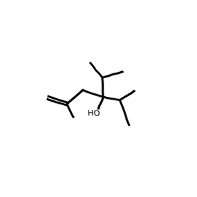 C=C(C)CC(O)(C(C)C)C(C)C